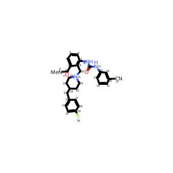 CNC(=O)c1cccc(NC(=O)Nc2cccc(C#N)c2)c1CN1CCC(Cc2ccc(F)cc2)CC1